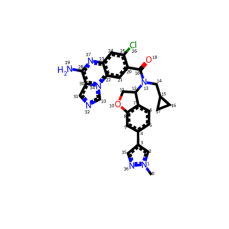 Cn1cc(-c2ccc3c(c2)OCC3N(CC2CC2)C(=O)c2cc3c(cc2Cl)nc(N)c2cncn23)cn1